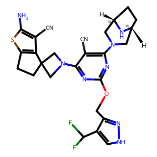 N#Cc1c(N2C[C@H]3CC[C@@H](C2)N3)nc(OCc2n[nH]cc2C(F)F)nc1N1CC2(CCc3sc(N)c(C#N)c32)C1